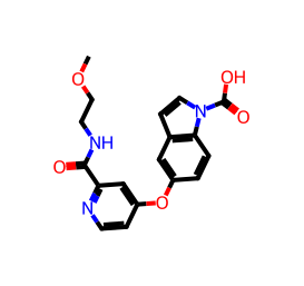 COCCNC(=O)c1cc(Oc2ccc3c(ccn3C(=O)O)c2)ccn1